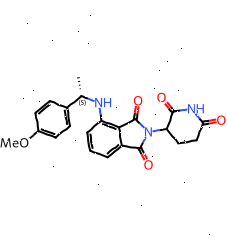 COc1ccc([C@H](C)Nc2cccc3c2C(=O)N(C2CCC(=O)NC2=O)C3=O)cc1